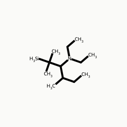 CCC(C)C(N(CC)CC)C(C)(C)[SiH3]